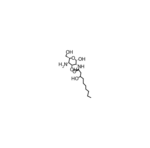 CCCCCCCC(O)CC(=O)N[C@@H]1[C@@H](O)[C@H](N)[C@@H](CO)O[C@@H]1O